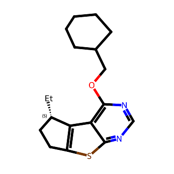 CC[C@H]1CCc2sc3ncnc(OCC4CCCCC4)c3c21